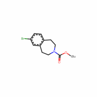 CC(C)(C)OC(=O)N1CCc2ccc(Br)cc2CC1